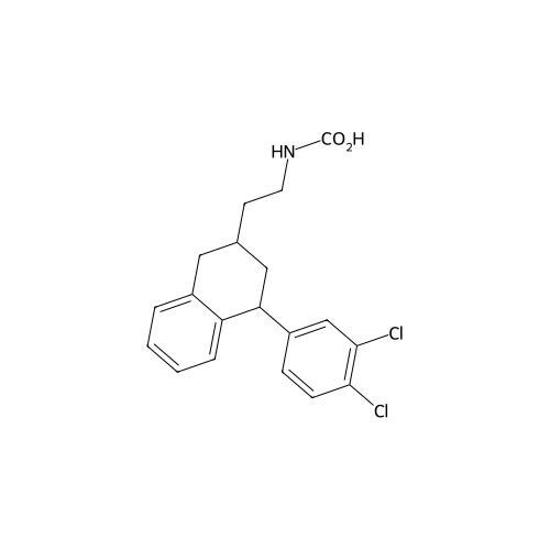 O=C(O)NCCC1Cc2ccccc2C(c2ccc(Cl)c(Cl)c2)C1